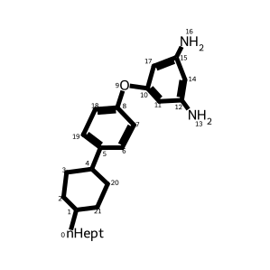 CCCCCCCC1CCC(c2ccc(Oc3cc(N)cc(N)c3)cc2)CC1